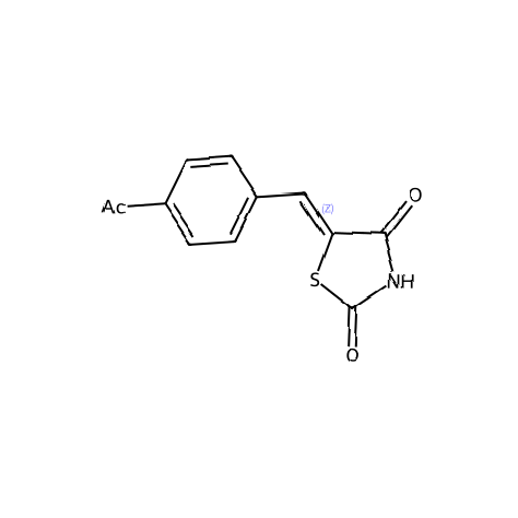 CC(=O)c1ccc(/C=C2\SC(=O)NC2=O)cc1